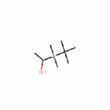 [CH2]C(O)[Si](C)(C)C(C)(C)C